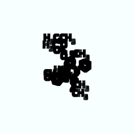 CCCCC1(CC)CN(c2ccccc2)c2cc(SC)c(OCC(=O)OC(C)(C)C)cc2S(O)(O)N1Cc1ccc(OC)cc1